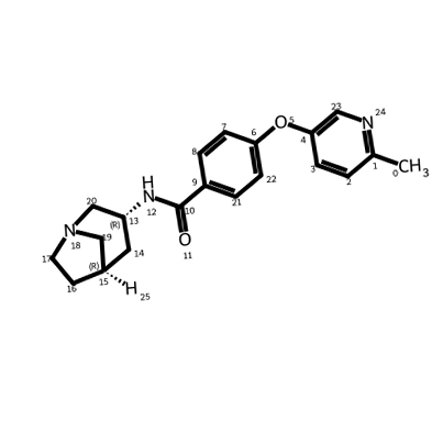 Cc1ccc(Oc2ccc(C(=O)N[C@@H]3C[C@H]4CCN(C4)C3)cc2)cn1